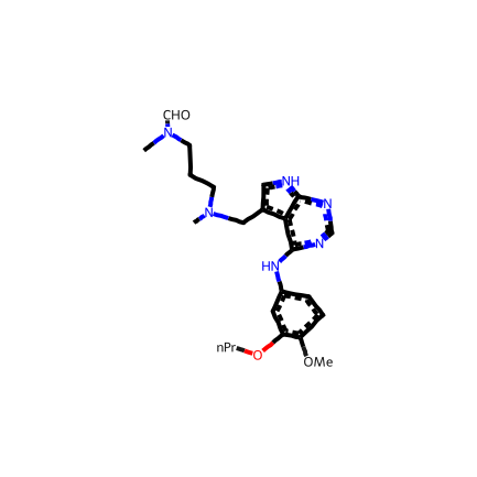 CCCOc1cc(Nc2ncnc3[nH]cc(CN(C)CCCN(C)C=O)c23)ccc1OC